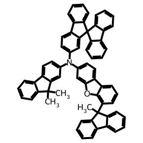 CC1(C)c2ccccc2-c2ccc(N(c3ccc4c(c3)C3(c5ccccc5-c5ccccc53)c3ccccc3-4)c3ccc4c(c3)oc3c(C5(C)c6ccccc6-c6ccccc65)cccc34)cc21